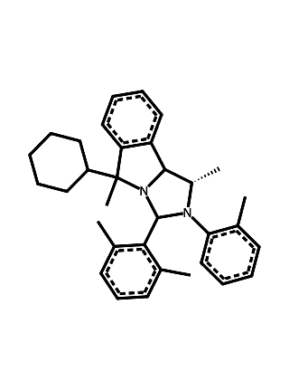 Cc1ccccc1N1C(c2c(C)cccc2C)N2C(c3ccccc3C2(C)C2CCCCC2)[C@@H]1C